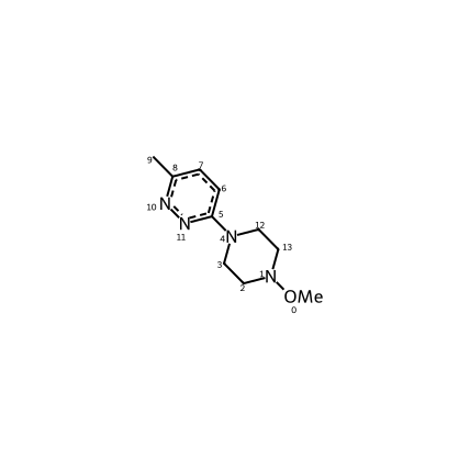 CON1CCN(c2ccc(C)nn2)CC1